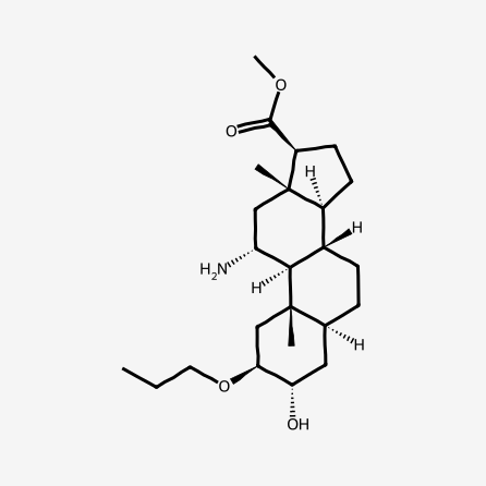 CCCO[C@H]1C[C@@]2(C)[C@@H](CC[C@@H]3[C@@H]2[C@H](N)C[C@]2(C)[C@@H](C(=O)OC)CC[C@@H]32)C[C@@H]1O